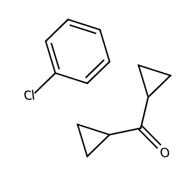 Clc1ccccc1.O=C(C1CC1)C1CC1